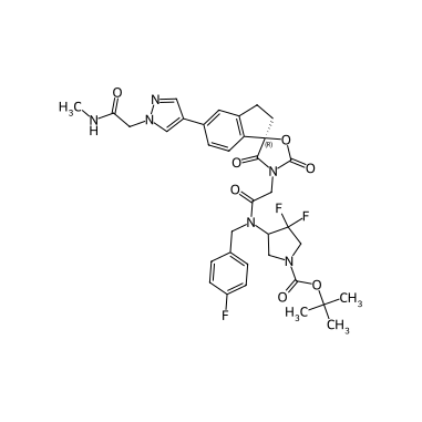 CNC(=O)Cn1cc(-c2ccc3c(c2)CC[C@@]32OC(=O)N(CC(=O)N(Cc3ccc(F)cc3)C3CN(C(=O)OC(C)(C)C)CC3(F)F)C2=O)cn1